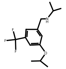 CC(C)NCc1cc(OC(C)C)cc(C(F)(F)F)c1